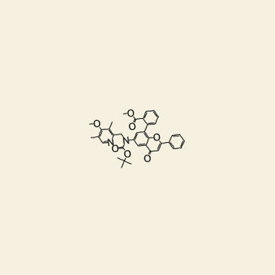 COC(=O)c1ccccc1-c1cc(N(Cc2ncc(C)c(OC)c2C)C(=O)OC(C)(C)C)cc2c(=O)cc(-c3ccccc3)oc12